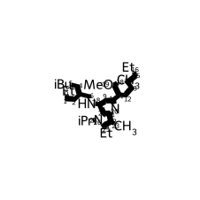 CC/C=C\C(=C/C(C)CC)CNc1cc(C(/C=C\C=C\CC)=C(/C)OC)nc2c(C)c(CC)n(C(C)C)c12